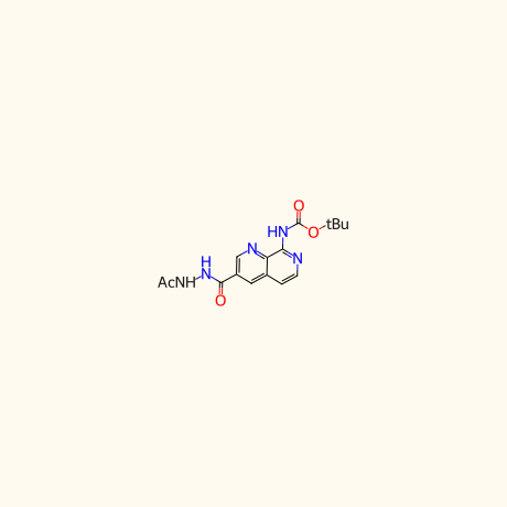 CC(=O)NNC(=O)c1cnc2c(NC(=O)OC(C)(C)C)nccc2c1